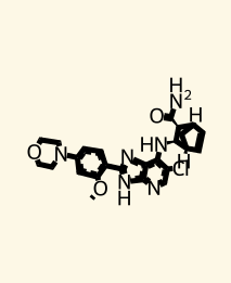 COc1cc(N2CCOCC2)ccc1-c1nc2c(N[C@H]3[C@@H](C(N)=O)[C@@H]4C=C[C@H]3C4)c(Cl)cnc2[nH]1